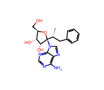 C[C@H](Cc1ccccc1)[C@@]1(n2cnc3c(N)ncnc32)O[C@H](CO)[C@@H](O)[C@H]1O